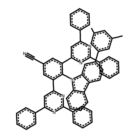 Cc1cc(C)cc(-c2ccc3c4ccccc4n(-c4c(-c5cc(-c6ccccc6)nc(-c6ccccc6)n5)cc(C#N)cc4-c4cc(-c5ccccc5)nc(-c5ccccc5)n4)c3c2)c1